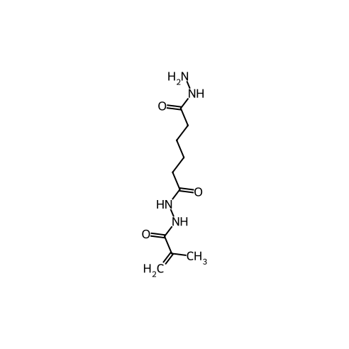 C=C(C)C(=O)NNC(=O)CCCCC(=O)NN